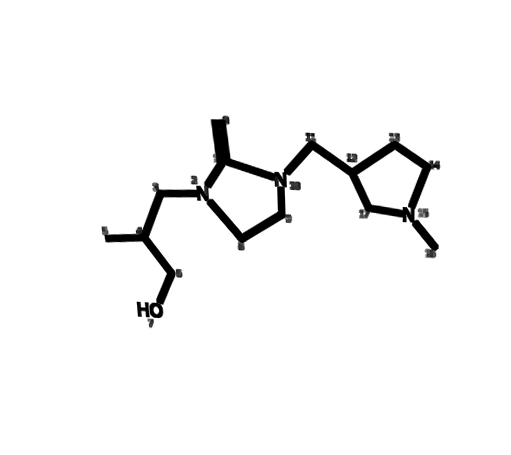 C=C1N(CC(C)CO)CCN1CC1CCN(C)C1